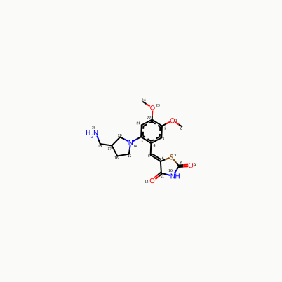 COc1cc(/C=C2\SC(=O)NC2=O)c(N2CCC(CN)C2)cc1OC